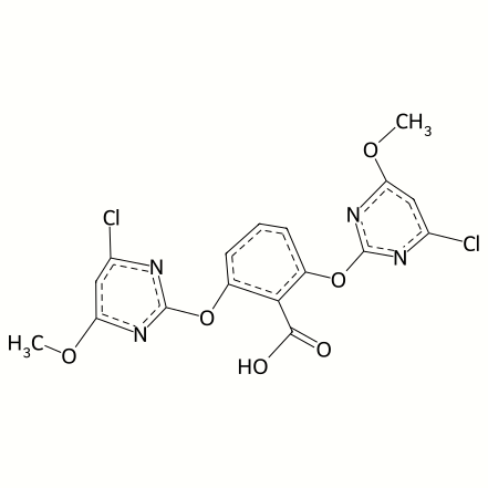 COc1cc(Cl)nc(Oc2cccc(Oc3nc(Cl)cc(OC)n3)c2C(=O)O)n1